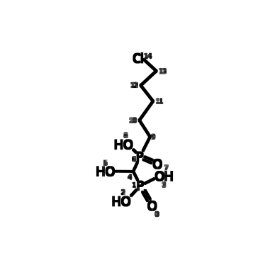 O=P(O)(O)C(O)P(=O)(O)CCCCCCl